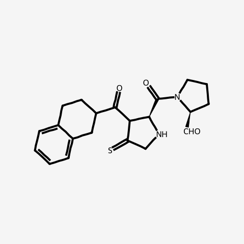 O=C[C@@H]1CCCN1C(=O)[C@H]1NCC(=S)C1C(=O)C1CCc2ccccc2C1